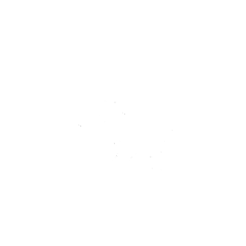 Cc1c(F)cc2nc3c(c4c2c1CCC4N)Cn1c-3cc2c(c1=O)COC(=O)[C@]2(O)CC1CC1